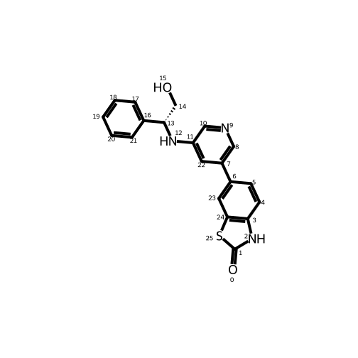 O=c1[nH]c2ccc(-c3cncc(N[C@@H](CO)c4ccccc4)c3)cc2s1